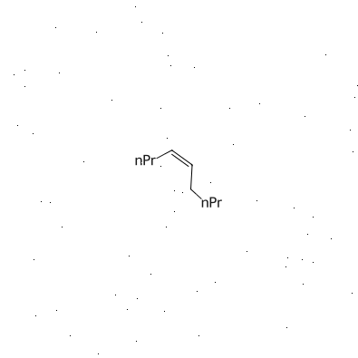 [CH2]CC/C=C\CCCC